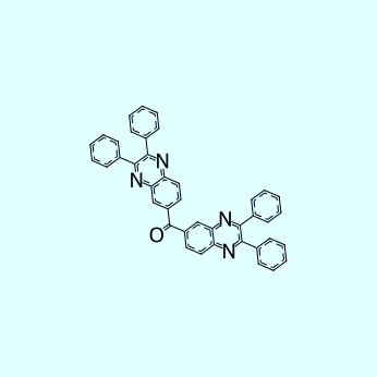 O=C(c1ccc2nc(-c3ccccc3)c(-c3ccccc3)nc2c1)c1ccc2nc(-c3ccccc3)c(-c3ccccc3)nc2c1